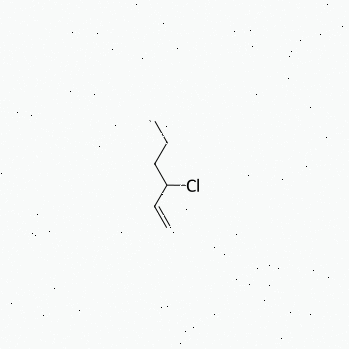 [CH2]CCC(Cl)C=C